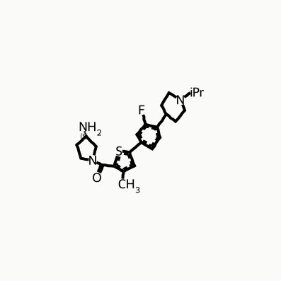 Cc1cc(-c2ccc(C3CCN(C(C)C)CC3)c(F)c2)sc1C(=O)N1CC[C@H](N)C1